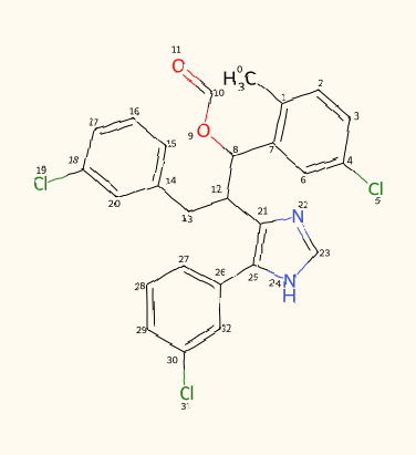 Cc1ccc(Cl)cc1C(OC=O)C(Cc1cccc(Cl)c1)c1nc[nH]c1-c1cccc(Cl)c1